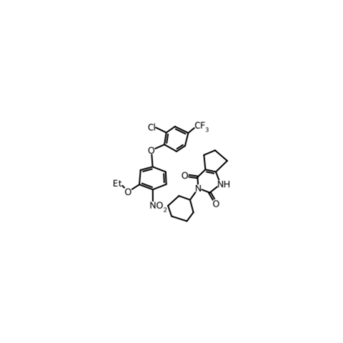 CCOc1cc(Oc2ccc(C(F)(F)F)cc2Cl)ccc1[N+](=O)[O-].O=c1[nH]c2c(c(=O)n1C1CCCCC1)CCC2